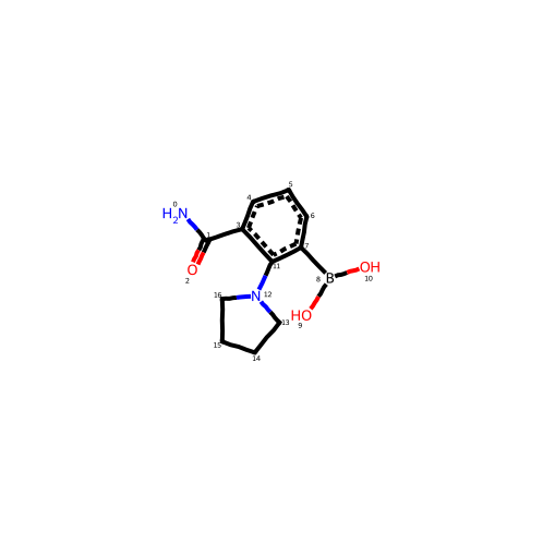 NC(=O)c1cccc(B(O)O)c1N1CCCC1